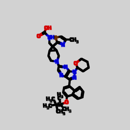 Cc1csc(C2(CNC(=O)O)C3CCN(c4cnc5c(-c6ccc(O[Si](C)(C)C(C)(C)C)c7ccccc67)nn(C6CCCCO6)c5n4)CC32)n1